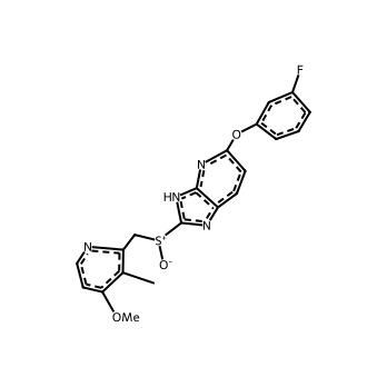 COc1ccnc(C[S+]([O-])c2nc3ccc(Oc4cccc(F)c4)nc3[nH]2)c1C